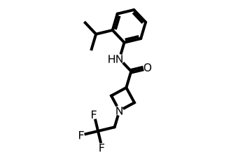 CC(C)c1ccccc1NC(=O)C1CN(CC(F)(F)F)C1